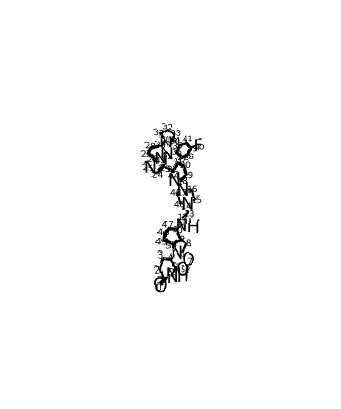 O=C1CCC(N2C(=O)Cc3c(NCCN4CCN(c5cccc(-c6cnc7ccc(N8CCC[C@@H]8c8cccc(F)c8)nn67)n5)CC4)cccc32)C(=O)N1